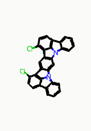 Clc1ccc2c3ccccc3n3c4cc5c(cc4c1c23)c1c(Cl)ccc2c3ccccc3n5c21